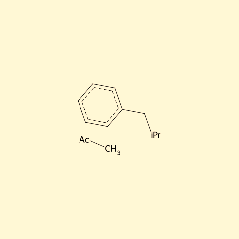 CC(C)=O.CC(C)Cc1ccccc1